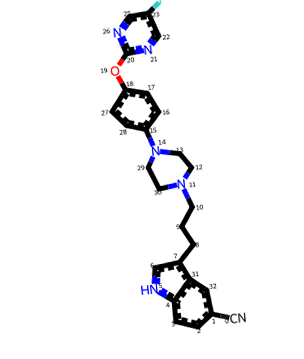 N#Cc1ccc2[nH]cc(CCCN3CCN(c4ccc(Oc5ncc(F)cn5)cc4)CC3)c2c1